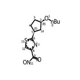 CCCCO[C@@H]1CC[C@H](c2nc(C(=O)N=O)cs2)C1